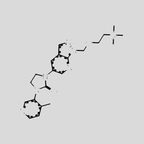 Cc1ccncc1N1CCN(c2cnc3c(cnn3COCC[Si](C)(C)C)c2)C1=O